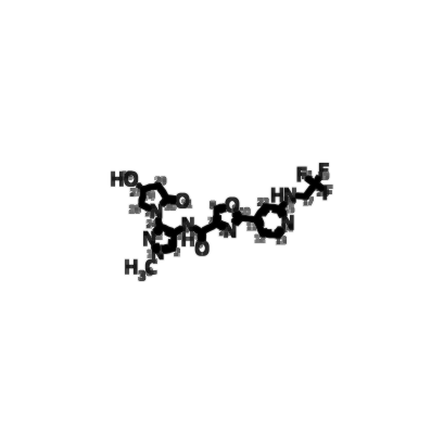 Cn1cc(NC(=O)c2coc(-c3ccnc(NCC(F)(F)F)c3)n2)c(N2C[C@@H](O)CC2=O)n1